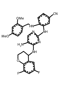 COc1ccc(CNc2ccc(C#N)cc2Nc2ncc(N)c(NC3CCOc4c(F)cc(F)cc43)n2)c(OC)c1